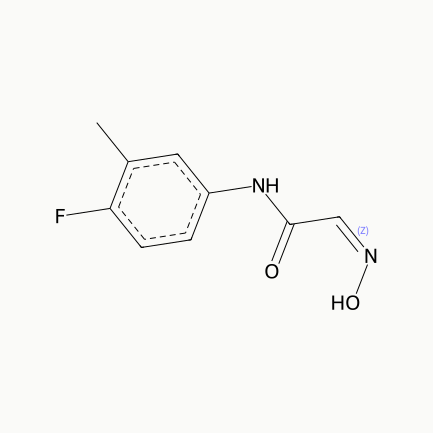 Cc1cc(NC(=O)/C=N\O)ccc1F